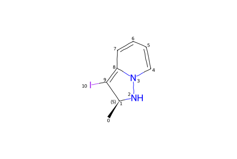 C[C@@H]1NN2C=CC=CC2=C1I